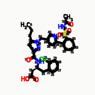 CCCc1cc(C(=O)N[C@@H](CC(=O)O)Cc2ccccc2Cl)nn1Cc1ccc(-c2ccccc2S(=O)(=O)NC(C)=O)nc1